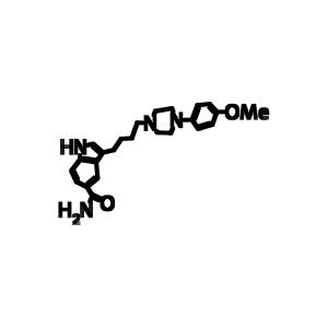 COc1ccc(N2CCN(CCCCc3c[nH]c4ccc(C(N)=O)cc34)CC2)cc1